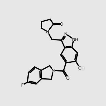 O=C1CCCN1Cc1n[nH]c2cc(O)c(C(=O)N3Cc4ccc(F)cc4C3)cc12